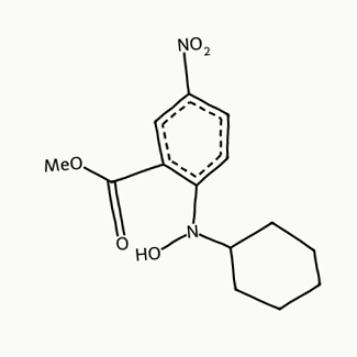 COC(=O)c1cc([N+](=O)[O-])ccc1N(O)C1CCCCC1